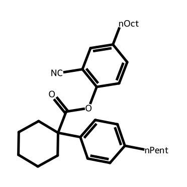 CCCCCCCCc1ccc(OC(=O)C2(c3ccc(CCCCC)cc3)CCCCC2)c(C#N)c1